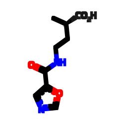 C[C@H](CCNC(=O)c1cnco1)C(=O)O